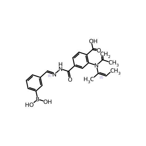 C=C(C)N(/C(C)=C\C)c1cc(C(=O)N/N=C/c2cccc(B(O)O)c2)ccc1C(=O)O